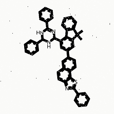 CC1(C)c2ccccc2-c2c(C3N=C(c4ccccc4)NC(c4ccccc4)N3)cc(-c3ccc4c(ccc5nc(-c6ccccc6)sc54)c3)cc21